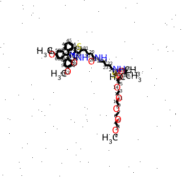 CCOCCOCCOCCOCCOCCOP(=S)(NCCCCCNC(=O)CCCC1SCC2C1NC(=O)N2C(c1ccccc1)(c1ccc(OC)cc1)c1ccc(OC)cc1)OC(C)(C)C